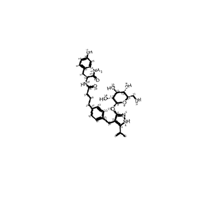 CC(C)c1[nH]nc(O[C@@H]2O[C@H](CO)[C@@H](O)[C@H](O)[C@H]2O)c1Cc1ccc(CCCC(=O)N[C@@H](Cc2ccc(O)cc2)C(N)=O)cc1